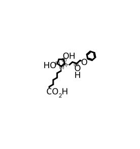 O=C(O)CCCCCC[C@@H]1[C@@H](CC[C@@H](O)COc2ccccc2)[C@H](O)C[C@H]1O